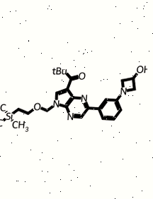 CC(C)(C)C(=O)c1cn(COCC[Si](C)(C)C)c2ncc(-c3cccc(N4CC(O)C4)c3)nc12